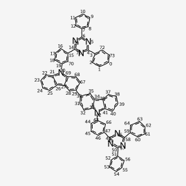 c1ccc(-c2nc(-c3ccccc3)nc(-c3cccc(-n4c5ccccc5c5cc(-c6ccc7c(c6)c6ccccc6n7-c6cccc(-c7nc(-c8ccccc8)nc(-c8ccccc8)n7)c6)ccc54)c3)n2)cc1